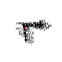 CC(C)C[C@H](N)C(=O)O.CC(C)[C@H](N)C(=O)O.C[C@H](N)C(=O)O.C[C@H](N)C(=O)O.NC(=O)CC[C@H](N)C(=O)O.NCC(=O)O.NCC(=O)O.NCC(=O)O.NCCCC[C@H](N)C(=O)O.N[C@@H](CC(=O)O)C(=O)O.N[C@@H](Cc1c[nH]cn1)C(=O)O.N[C@@H](Cc1c[nH]cn1)C(=O)O